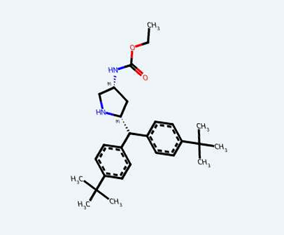 CCOC(=O)N[C@H]1CN[C@@H](C(c2ccc(C(C)(C)C)cc2)c2ccc(C(C)(C)C)cc2)C1